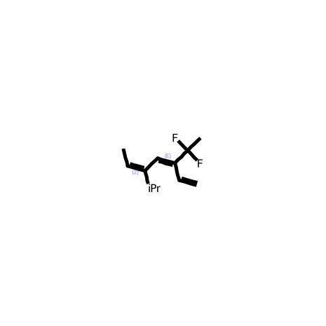 C=C/C(=C\C(=C/C)C(C)C)C(C)(F)F